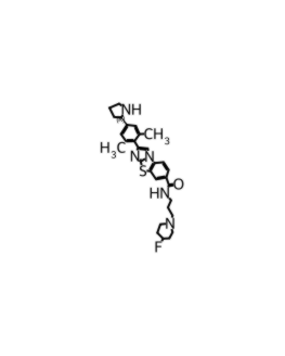 Cc1cc([C@H]2CCCN2)cc(C)c1-c1cn2c(n1)sc1cc(C(=O)NCCCN3CCC(F)CC3)ccc12